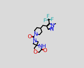 Cn1ncc(CC2CCN(C(=O)N3CC4(COCC(=O)N4)C3)CC2)c1C(F)(F)F